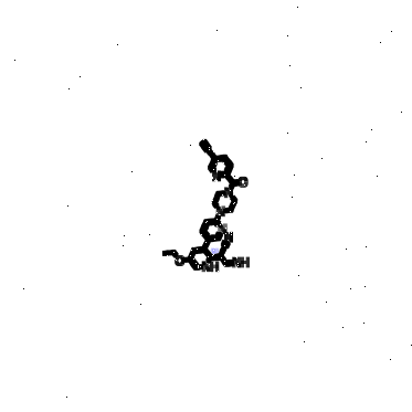 C#Cc1ccc(C(=O)N2CCN(c3ccc(C4=CC(OCC)=CN/C4=C(/C#N)C=N)cn3)CC2)nc1